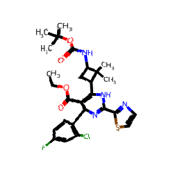 CCOC(=O)C1=C(C2CC(NC(=O)OC(C)(C)C)C2(C)C)NC(c2nccs2)=NC1c1ccc(F)cc1Cl